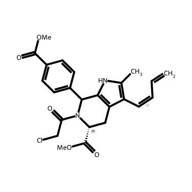 C=C/C=C\c1c(C)[nH]c2c1C[C@H](C(=O)OC)N(C(=O)CCl)C2c1ccc(C(=O)OC)cc1